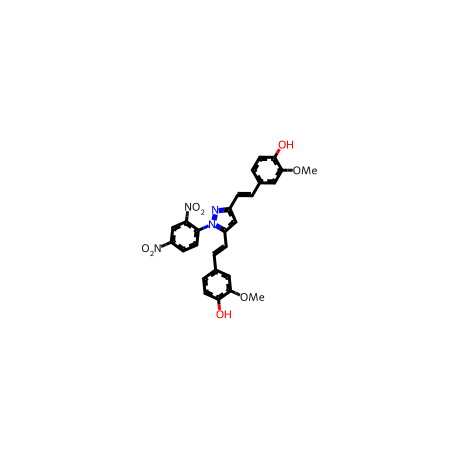 COc1cc(/C=C/c2cc(/C=C/c3ccc(O)c(OC)c3)n(-c3ccc([N+](=O)[O-])cc3[N+](=O)[O-])n2)ccc1O